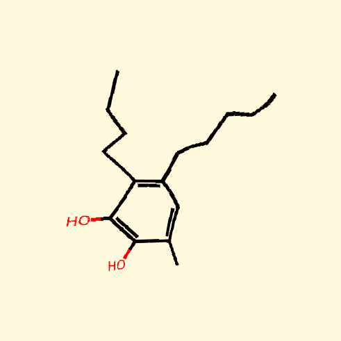 CCCCCc1cc(C)c(O)c(O)c1CCCC